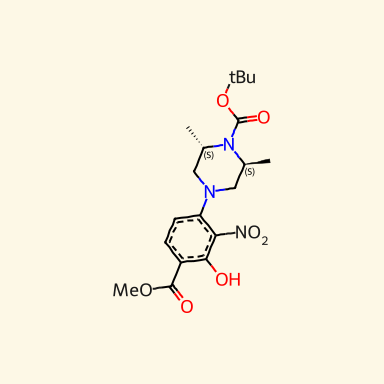 COC(=O)c1ccc(N2C[C@H](C)N(C(=O)OC(C)(C)C)[C@@H](C)C2)c([N+](=O)[O-])c1O